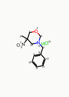 CC1([N+](=O)[O-])COCN(Cc2ccccc2)C1.Cl